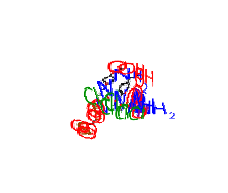 CN=O.CS(=O)(=O)OCCCCOS(C)(=O)=O.NP=O.N[C@@H](Cc1ccc(N(CCCl)CCCl)cc1)C(=O)O.O=C(O)CCCc1ccc(N(CCCl)CCCl)cc1.O=P1(NCCCl)OCCCN1CCCl